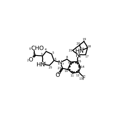 O=CC(=O)C1CCC(N2Cc3c(cc(F)cc3N3CC4CC(C3)N4)C2=O)CN1